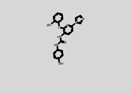 CC(C)(C)c1ccc(NC(=O)Nc2ccc(-n3ccnc3)nc2Oc2ccccc2C(C)(C)C)cc1